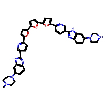 CN1CCN(c2ccc3nc(-c4ccc(-c5ccc(-c6ccc(-c7ccc(-c8ccc(-c9nc%10ccc(N%11CCNCC%11)cc%10[nH]9)cn8)o7)o6)o5)nc4)[nH]c3c2)CC1